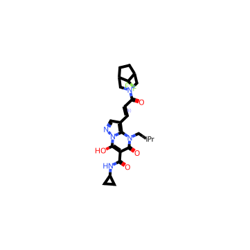 CC(C)Cn1c(=O)c(C(=O)NC2CC2)c(O)n2ncc(/C=C/C(=O)N3CC4CCC(C3)C4(F)F)c12